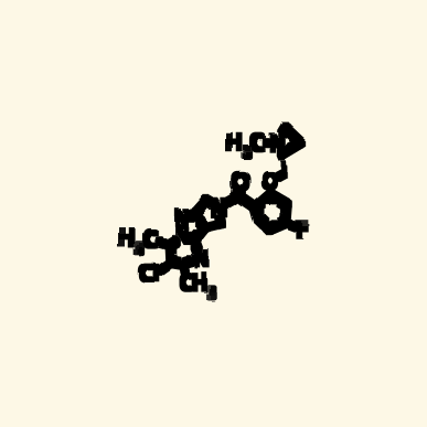 Cc1nc2c3c(nn2c(C)c1Cl)CN(C(=O)c1ccc(F)cc1OC[C@H]1CCN1C)C3